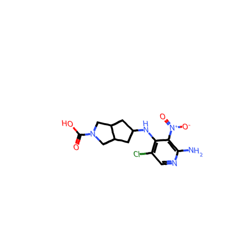 Nc1ncc(Cl)c(NC2CC3CN(C(=O)O)CC3C2)c1[N+](=O)[O-]